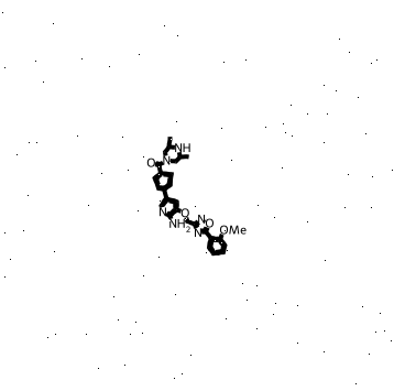 COc1ccccc1-c1nc(COc2cc(-c3ccc(C(=O)N4CC(C)NC(C)C4)cc3)cnc2N)no1